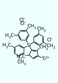 CC1=C([Si](c2cc(C)cc(C)c2)(c2cc(C)cc(C)c2)c2cc(C)cc(C)c2)C(C)C=[C]1[Ti+3].[Cl-].[Cl-].[Cl-]